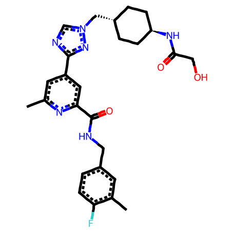 Cc1cc(-c2ncn(C[C@H]3CC[C@H](NC(=O)CO)CC3)n2)cc(C(=O)NCc2ccc(F)c(C)c2)n1